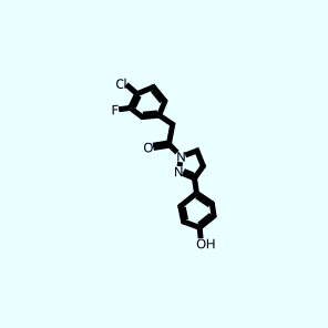 O=C(Cc1ccc(Cl)c(F)c1)N1CCC(c2ccc(O)cc2)=N1